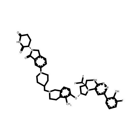 Cc1c(O[C@H]2CN3c4cc(-c5cccc(F)c5O)nnc4NC[C@@]3(C(F)F)C2)ccc2c1CCN(CC1CCN(c3ccc4c(c3)C(=O)N([C@H]3CCC(=O)NC3=O)C4)CC1)C2